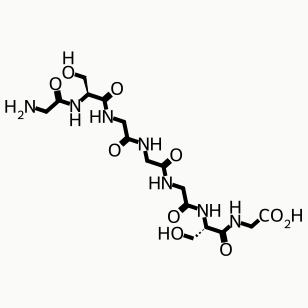 NCC(=O)N[C@@H](CO)C(=O)NCC(=O)NCC(=O)NCC(=O)N[C@@H](CO)C(=O)NCC(=O)O